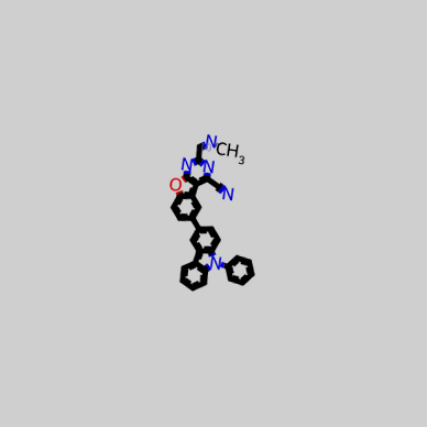 C/N=C\c1nc(C#N)c2c(n1)oc1ccc(-c3ccc4c(c3)c3ccccc3n4-c3ccccc3)cc12